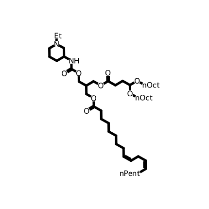 CCCCC/C=C\C/C=C\CCCCCCCC(=O)OCC(COC(=O)CCC(OCCCCCCCC)OCCCCCCCC)COC(=O)NC1CCCN(CC)C1